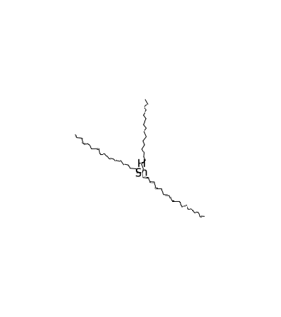 CCCCCCCCCCCCCCCCC[CH2][SnH]([CH2]CCCCCCCCCCCCCCCCC)[CH2]CCCCCCCCCCCCCCCCC